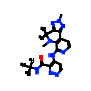 [2H]C([2H])([2H])NC(=O)c1nnccc1Nc1nccc2c1N(C)C([2H])([2H])c1nn(C)nc1-2